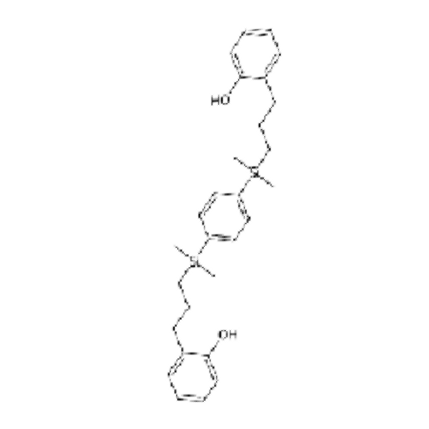 C[Si](C)(CCCc1ccccc1O)c1ccc([Si](C)(C)CCCc2ccccc2O)cc1